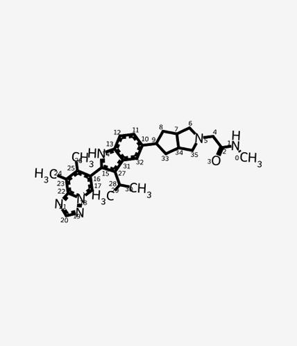 CNC(=O)CN1CC2CC(c3ccc4[nH]c(-c5cn6ncnc6c(C)c5C)c(C(C)C)c4c3)CC2C1